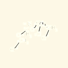 CCl.CCl.CCl.CCl.CCl.[B]